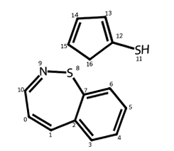 C1=Cc2ccccc2SN=C1.SC1=CC=CC1